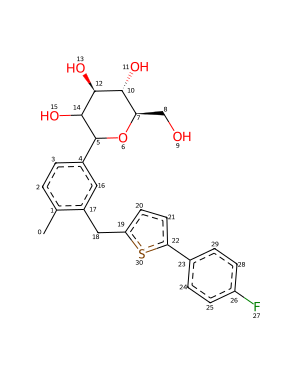 Cc1ccc(C2O[C@H](CO)[C@@H](O)[C@H](O)C2O)cc1Cc1ccc(-c2ccc(F)cc2)s1